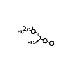 Cc1cc(SCC=C(C#CCO)c2ccc(-c3ccccc3)cc2)ccc1OCC(=O)O